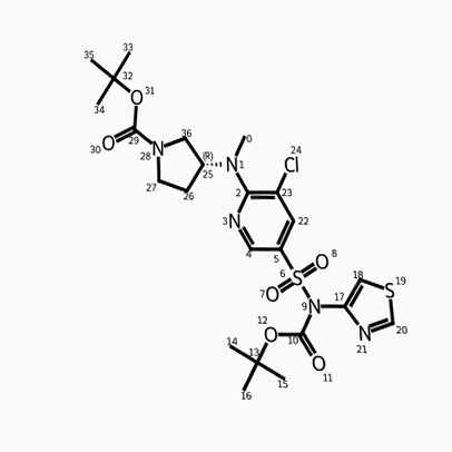 CN(c1ncc(S(=O)(=O)N(C(=O)OC(C)(C)C)c2cscn2)cc1Cl)[C@@H]1CCN(C(=O)OC(C)(C)C)C1